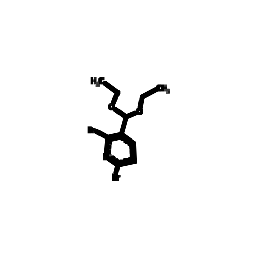 CCOC(OCC)c1ccc(Br)nc1Br